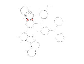 CC(C)(C)c1ccc(N2c3cc(N(c4ccccc4)c4ccccc4)ccc3B3c4c(cc5c(oc6ccccc65)c42)-c2cccc4c5c6ccccc6ccc5n3c24)c(-c2ccccc2)c1